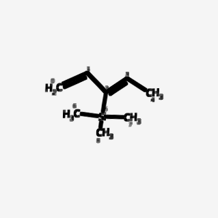 C=C/C(=C/C)[Si](C)(C)C